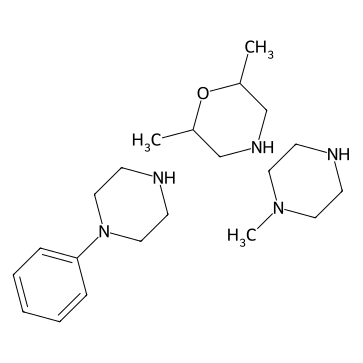 CC1CNCC(C)O1.CN1CCNCC1.c1ccc(N2CCNCC2)cc1